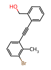 Cc1c(Br)cccc1C#Cc1ccccc1CO